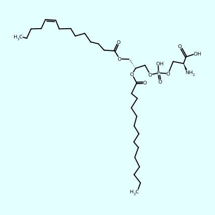 CCCC/C=C\CCCCCCCC(=O)OC[C@H](COP(=O)(O)OC[C@H](N)C(=O)O)OC(=O)CCCCCCCCCCCCC